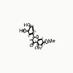 COc1cc(O)c2c(c1)OC(c1ccc(O)c(O)c1)CC2=O